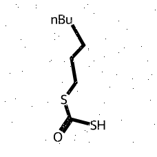 CCCCCCCSC(=O)S